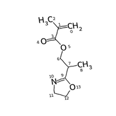 C=C(C)C(=O)OCC(C)C1=NCCO1